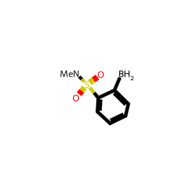 Bc1ccccc1S(=O)(=O)NC